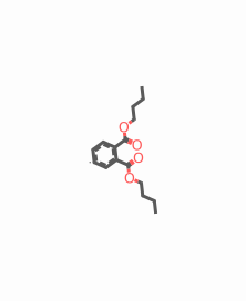 CCCCOC(=O)c1c[c]ccc1C(=O)OCCCC